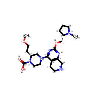 COCC[C@H]1CN(c2nc(OC[C@@H]3CCCN3C)nc3c2CCNC3)CCN1C(=O)O